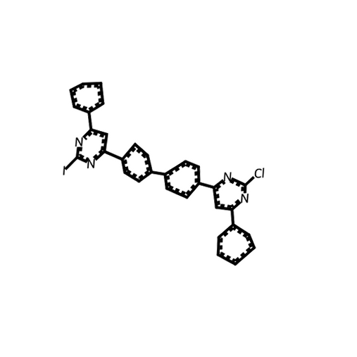 Clc1nc(-c2ccccc2)cc(-c2ccc(-c3ccc(-c4cc(-c5ccccc5)nc(I)n4)cc3)cc2)n1